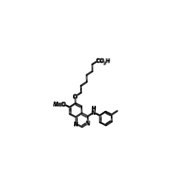 COc1cc2ncnc(Nc3cccc(C)c3)c2cc1OCCCCCCC(=O)O